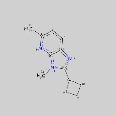 Cc1ccc2nc(C3CCC3)n(C)c2n1